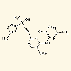 COc1ccc(C#CC(C)(O)c2cc(C)on2)cc1Nc1nc(N)ncc1Cl